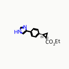 CCOC(=O)[C@H]1C[C@@H]1c1ccc(-c2c[nH]cn2)cc1